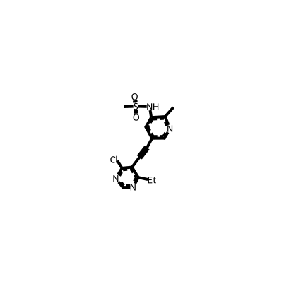 CCc1ncnc(Cl)c1C#Cc1cnc(C)c(NS(C)(=O)=O)c1